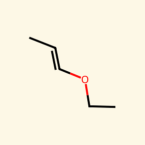 C/C=C/OCC